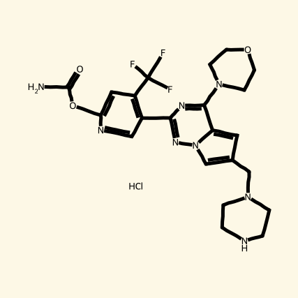 Cl.NC(=O)Oc1cc(C(F)(F)F)c(-c2nc(N3CCOCC3)c3cc(CN4CCNCC4)cn3n2)cn1